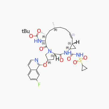 C[C@@H]1CC/C=C\[C@@H]2C[C@@]2(C(=O)NS(=O)(=O)C2CC2)NC(=O)[C@@H]2C[C@@H](Oc3nccc4ccc(F)cc34)CN2C(=O)[C@@H](NC(=O)OC(C)(C)C)[C@H](C)C1